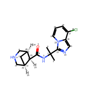 CC(C)(NC(=O)[C@@H]1[C@@H]2CNC[C@H]1C2)c1ncc2c(Cl)cccn12